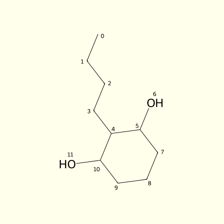 CCCCC1C(O)CCCC1O